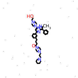 Cc1nn2c(N3CCN(CCO)CC3)cc(-c3cccc(CCCC(=O)N4CCN(CCCN5CCCCC5)CC4)c3)nc2c1-c1ccccc1